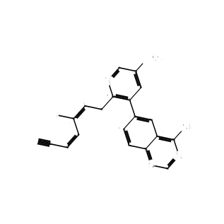 C#C/C=C\C(Cl)=C/Cc1ncc(OC)cc1-c1ccc2ncnc(N)c2c1